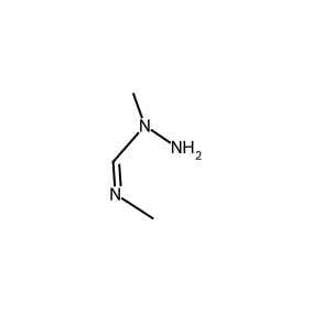 C/N=C\N(C)N